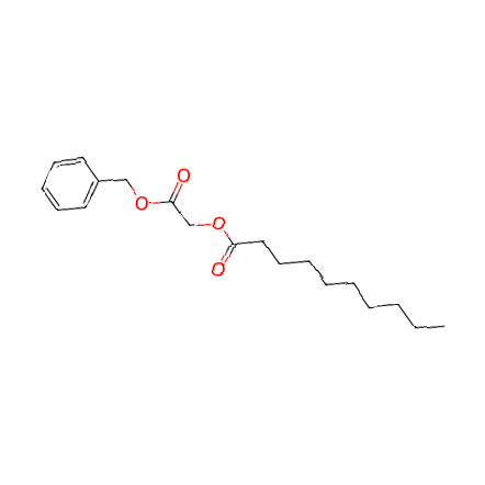 CCCCCCCCCC(=O)OCC(=O)OCc1ccccc1